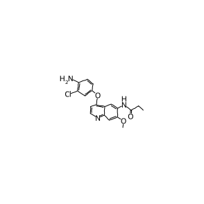 CCC(=O)Nc1cc2c(Oc3ccc(N)c(Cl)c3)ccnc2cc1OC